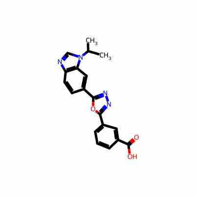 CC(C)n1cnc2ccc(-c3nnc(-c4cccc(C(=O)O)c4)o3)cc21